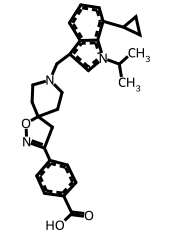 CC(C)n1cc(CN2CCC3(CC2)CC(c2ccc(C(=O)O)cc2)=NO3)c2cccc(C3CC3)c21